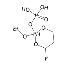 CCO[PH]1(OP(=O)(O)O)OCCC(F)O1